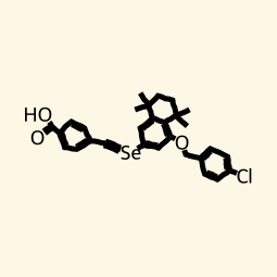 CC1(C)CCC(C)(C)c2c(OCc3ccc(Cl)cc3)cc([Se]C#Cc3ccc(C(=O)O)cc3)cc21